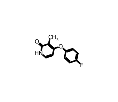 Cc1c(Oc2ccc(F)cc2)cc[nH]c1=O